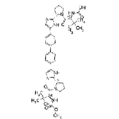 COC(=O)N[C@H](C(=O)N1CCC[C@H]1c1ncc(-c2ccc(-c3ccc(-c4cnc([C@@H]5CCCN5C(=O)[C@@H](NC(=O)O)C(C)(C)C)[nH]4)cc3)cc2)[nH]1)C(C)(C)C